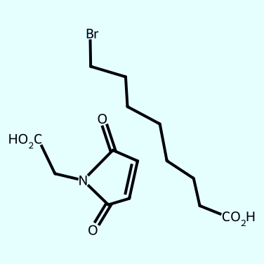 O=C(O)CCCCCCCBr.O=C(O)CN1C(=O)C=CC1=O